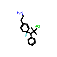 CC(C)(C)C(c1ccccc1)C1(F)C=CC(CCN)=CC1.Cl